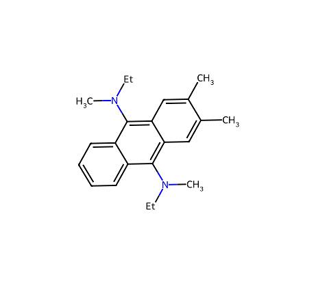 CCN(C)c1c2ccccc2c(N(C)CC)c2cc(C)c(C)cc12